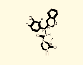 C[C@@H]1C(=O)NCCN1C(=O)N[C@@H](c1ccc(F)c(Cl)c1F)[C@@H]1COc2ccccc2C1